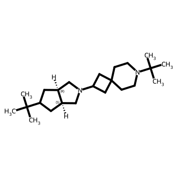 CC(C)(C)C1C[C@@H]2CN(C3CC4(CCN(C(C)(C)C)CC4)C3)C[C@@H]2C1